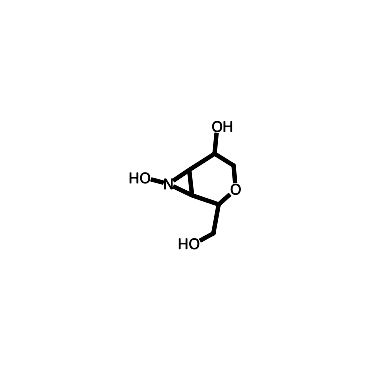 OCC1OCC(O)C2C1N2O